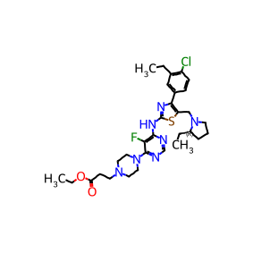 CCOC(=O)CCN1CCN(c2ncnc(Nc3nc(-c4ccc(Cl)c(CC)c4)c(CN4CCC[C@H]4CC)s3)c2F)CC1